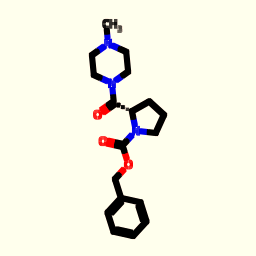 CN1CCN(C(=O)[C@@H]2CCCN2C(=O)OCc2ccccc2)CC1